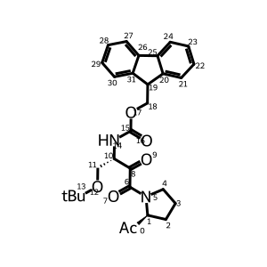 CC(=O)[C@@H]1CCCN1C(=O)C(=O)[C@H](COC(C)(C)C)NC(=O)OCC1c2ccccc2-c2ccccc21